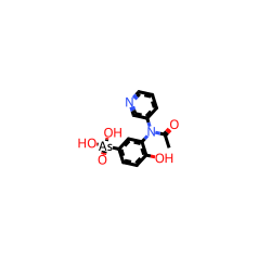 CC(=O)N(c1cccnc1)c1cc([As](=O)(O)O)ccc1O